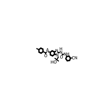 Cc1ccc(C(=O)N(C)c2ccc3c(c2)nc(NC(=O)Nc2cccc(C#N)c2)n3CC(C)(C)O)cc1